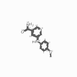 COc1ccc(Nc2cncc(C(N)=O)c2)cc1